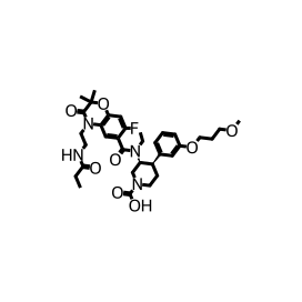 CCC(=O)NCCN1C(=O)C(C)(C)Oc2cc(F)c(C(=O)N(CC)[C@H]3CN(C(=O)O)CC[C@@H]3c3cccc(OCCCOC)c3)cc21